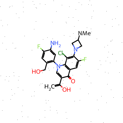 C=C(O)c1cn(-c2cc(N)c(F)cc2CO)c2c(Cl)c(N3CC(NC)C3)c(F)cc2c1=O